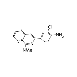 CNc1nc(-c2ccc(N)c(Cl)c2)cc2nccnc12